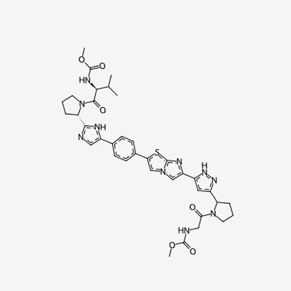 COC(=O)NCC(=O)N1CCCC1c1cc(-c2cn3cc(-c4ccc(-c5cnc([C@@H]6CCCN6C(=O)[C@@H](NC(=O)OC)C(C)C)[nH]5)cc4)sc3n2)[nH]n1